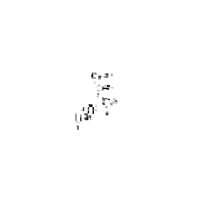 [Ga+3].[Lu+3].[O-2].[O-2].[O-2]